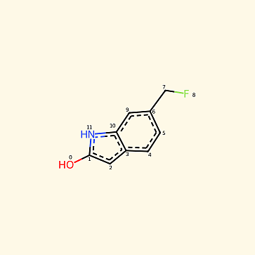 Oc1cc2ccc(CF)cc2[nH]1